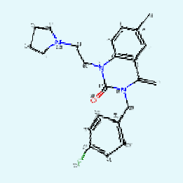 C=C1c2cc(C)ccc2N(CCN2CCCC2)C(=O)N1Cc1ccc(F)cc1